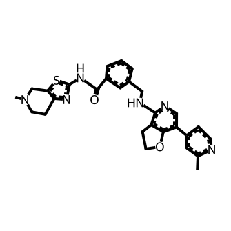 Cc1cc(-c2cnc(NCc3cccc(C(=O)Nc4nc5c(s4)CN(C)CC5)c3)c3c2OCC3)ccn1